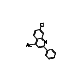 CC(=O)c1cc(-c2ccccc2)nc2cc(Cl)ccc12